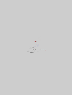 CC(C)(C)OC(=O)N[C@@H]1[C@H](CCO)C[C@H]2C[C@H]1C2(C)C